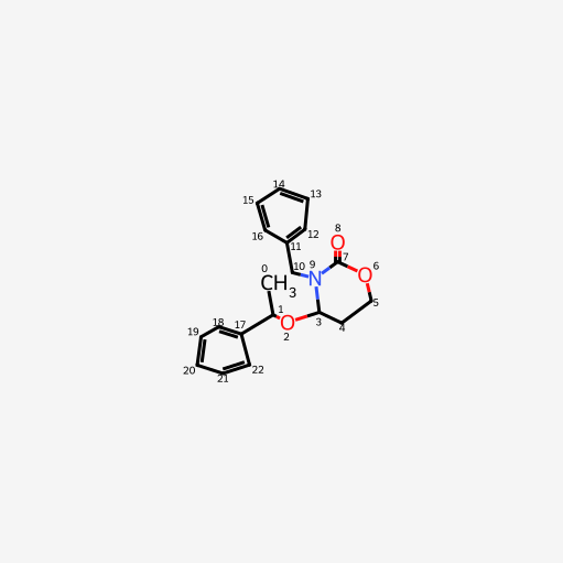 CC(OC1CCOC(=O)N1Cc1ccccc1)c1ccccc1